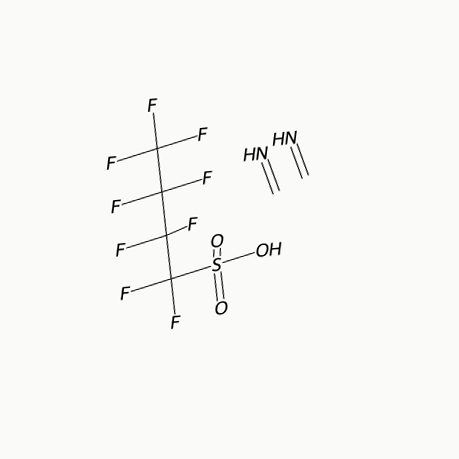 C=N.C=N.O=S(=O)(O)C(F)(F)C(F)(F)C(F)(F)C(F)(F)F